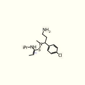 C/C=C(\NC(C)C)SN(C)C(CCN)c1ccc(Cl)cc1